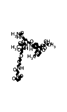 CC(C)[C@H](NC(=O)CCOCCOCCNC(=O)CCN1C(=O)C=CC1=O)C(=O)N[C@@H](CCCNC(N)=O)C(=O)Nc1ccc(C(OC(=O)N(C)C)C(=O)N2CCN(C)CC2)cc1